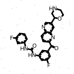 O=C(Nc1cccc(F)c1)Nc1cc(F)cc(C(=O)c2ccc3ncc(C4CNCCO4)cc3n2)c1